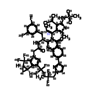 C=C(Cl)c1c(NS(C)(=O)=O)nn(C)c1/C(=C\C)n1c([C@H](Cc2cc(F)cc(F)c2)NC(=O)Cn2nc(C(F)(F)F)c3c2C(F)(F)[C@@H]2C[C@H]32)nc2cc(-c3ccn(CC(C)(F)F)n3)ccc2c1=O